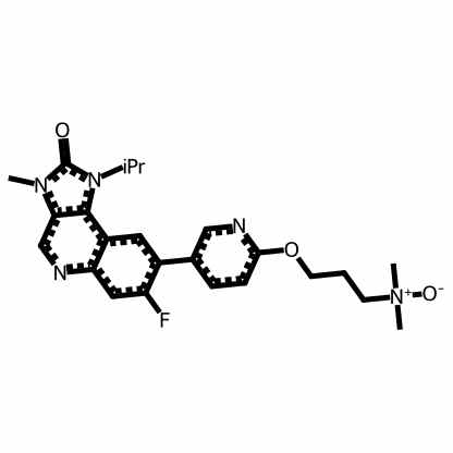 CC(C)n1c(=O)n(C)c2cnc3cc(F)c(-c4ccc(OCCC[N+](C)(C)[O-])nc4)cc3c21